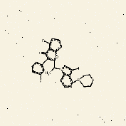 CC(c1oc2cccc(F)c2c(=O)c1-c1cccc(F)c1)n1nc(I)c2c(N3CCOCC3)ncnc21